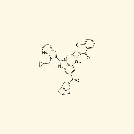 COc1cc(C(=O)N2CC3CC4CC2[C@H]43)cc2nc(-c3cc4cccnc4n3CC3CC3)n(CC3CN(C(=O)c4ccccc4Cl)C3)c12